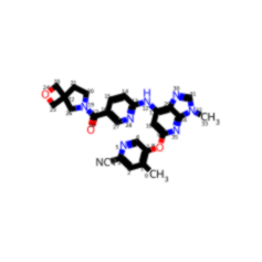 Cc1cc(C#N)ncc1Oc1cc(Nc2ccc(C(=O)N3CCC4(COC4)C3)cn2)c2ncn(C)c2n1